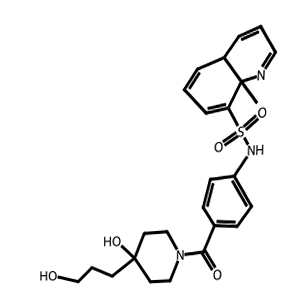 CC12N=CC=CC1C=CC=C2S(=O)(=O)Nc1ccc(C(=O)N2CCC(O)(CCCO)CC2)cc1